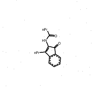 CCCC(=O)NC1=C(CCC)c2ccccc2C1=O